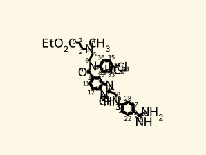 CCOC(=O)CCN(C)CCN(C(=O)c1ccc2c(c1)nc(CNc1ccc(C(=N)N)cc1)n2C)c1ccccc1.Cl.Cl